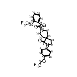 O=C1N(c2ccc(OCC(F)(F)F)cc2)CCC12CCN(S(=O)(=O)c1ccccc1OC(F)(F)F)CC2